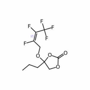 CCCC1(OC/C(F)=C(/F)C(F)(F)F)COC(=O)O1